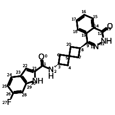 O=C(N[C@H]1CC2(C1)C[C@H](c1n[nH]c(=O)c3ccccc31)C2)c1cc2ccc(F)cc2[nH]1